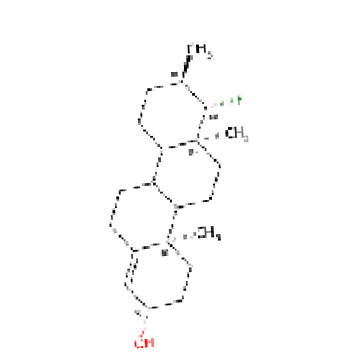 C[C@@H]1CCC2C3CCC4=C[C@@H](O)CC[C@]4(C)C3CC[C@]2(C)[C@H]1F